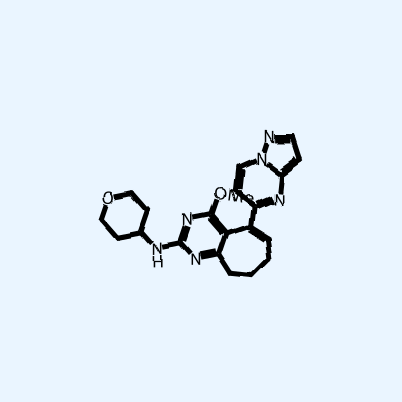 COc1nc(NC2CCOCC2)nc2c1C(c1ccn3nccc3n1)=CCCC2